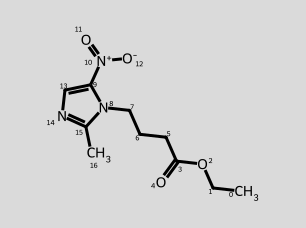 CCOC(=O)CCCn1c([N+](=O)[O-])cnc1C